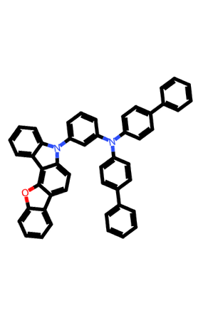 c1ccc(-c2ccc(N(c3ccc(-c4ccccc4)cc3)c3cccc(-n4c5ccccc5c5c6oc7ccccc7c6ccc54)c3)cc2)cc1